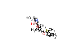 Cc1cc(CCC(=O)c2sc(C)c3c2CCC(C)(C)C3)cc(C)c1OCC(O)CN1CC(C(=O)O)C1